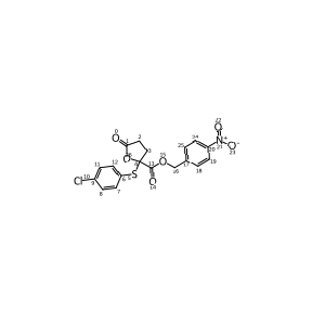 O=C1CCC(Sc2ccc(Cl)cc2)(C(=O)OCc2ccc([N+](=O)[O-])cc2)O1